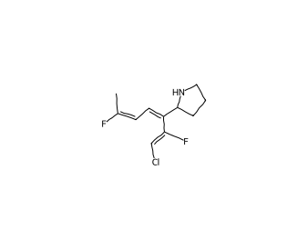 C\C(F)=C/C=C(\C(F)=C\Cl)C1CCCN1